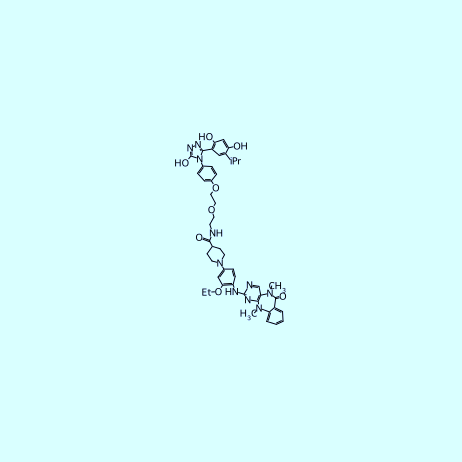 CCOc1cc(N2CCC(C(=O)NCCOCCOc3ccc(-n4c(O)nnc4-c4cc(C(C)C)c(O)cc4O)cc3)CC2)ccc1Nc1ncc2c(n1)N(C)c1ccccc1C(=O)N2C